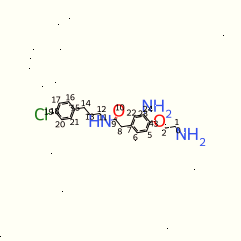 NCCOc1ccc(CC(=O)NCCCc2ccc(Cl)cc2)cc1N